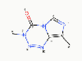 Cc1ncn2c(=O)n(C)nnc12